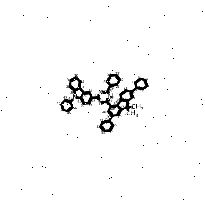 CC1(C)c2cc(-c3ccccc3)ccc2-c2c(-c3nc(-c4ccccc4)nc(-c4ccc5c(c4)c4ccccc4n5-c4ccccc4)n3)cc(-c3ccccc3)cc21